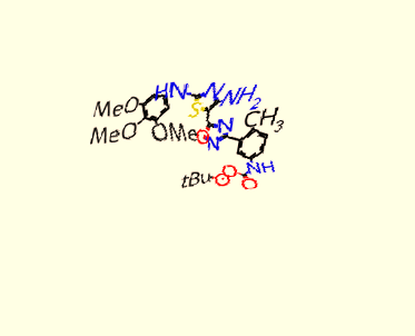 COc1cc(Nc2nc(N)c(-c3nc(-c4cc(NC(=O)OOC(C)(C)C)ccc4C)no3)s2)cc(OC)c1OC